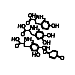 NC(Cc1ccc(O)c(O)c1)C(=O)O.NC(Cc1ccc(O)c(O)c1)C(=O)O.N[C@@H](Cc1ccc(O)cc1)C(=O)O.O=C1C=CC(=O)C=C1